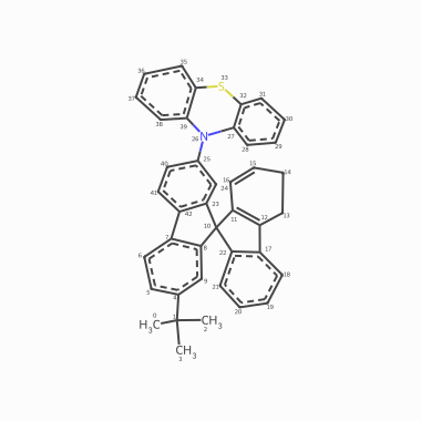 CC(C)(C)c1ccc2c(c1)C1(C3=C(CCC=C3)c3ccccc31)c1cc(N3c4ccccc4Sc4ccccc43)ccc1-2